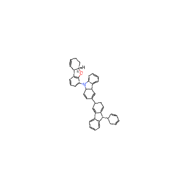 C1=CCC(C2C3=CCC(C4=CC5c6ccccc6N(c6cccc7c6O[C@H]6CCC=CC76)C5C=C4)C=C3c3ccccc32)C=C1